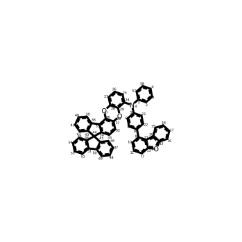 c1ccc(N(c2ccc(-c3cccc4oc5ccccc5c34)cc2)c2cccc3c2Oc2ccc4c(c2O3)-c2ccccc2C42c3ccccc3-c3ccccc32)cc1